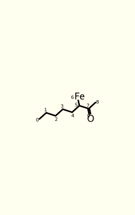 CCCCC[CH]([Fe])C(C)=O